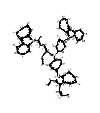 C=C/C(=C\C=C(/C)n1c2ccccc2c2ccccc21)N(c1ccc(-n2c(C=C)c(/C=C\C)c3ccccc32)cc1)c1ccc(-n2c3ccccc3c3ccccc32)cc1